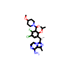 COC1CCN(C(=O)c2c(F)c(Cl)cc([C@H](C)c3nc(C)c4c(N)nccn34)c2OC(C)C)CC1